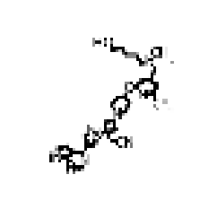 CN(CCCCCO)Cc1cc(OC2CCN([C@H]3C[C@](CC#N)(n4cc(-c5ncnc6[nH]ccc56)cn4)C3)CC2)nc(C(F)(F)F)c1